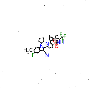 Cc1cc2c(cc1F)c(C#N)c(-c1ccc(S(=O)(=O)N[C@@H](C)C(F)(F)F)c(C)n1)n2C1CCCC1